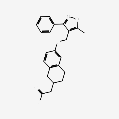 Cc1onc(-c2ccccc2)c1COc1ccc2c(c1)CCC(CC(=O)O)C2